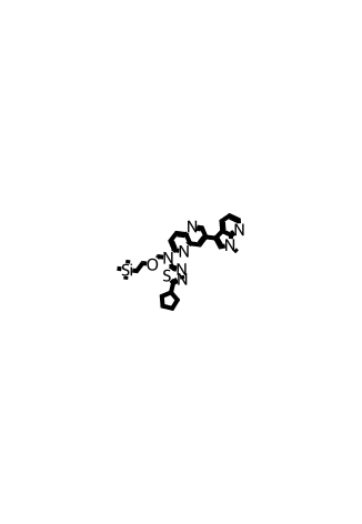 Cn1cc(-c2cnc3ccc(N(COCC[Si](C)(C)C)c4nnc(C5CCCC5)s4)nc3c2)c2cccnc21